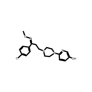 CO/N=C(/CCN1CCN(c2ccc(O)cn2)CC1)c1ccc(Cl)cc1